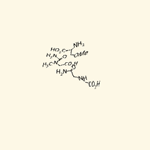 CN(CC(=O)O)C(N)=O.COC[C@H](N)C(=O)O.NC(=O)CNCC(=O)O